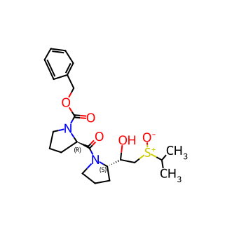 CC(C)[S+]([O-])CC(O)[C@@H]1CCCN1C(=O)[C@H]1CCCN1C(=O)OCc1ccccc1